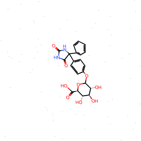 O=C1NC(=O)C(c2ccccc2)(c2ccc(OC3O[C@H](C(=O)O)[C@@H](O)[C@H](O)[C@H]3O)cc2)N1